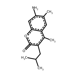 Cc1cc2c(C)c(CC(C)C)c(=O)oc2cc1N